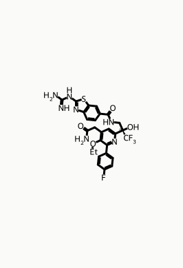 CCOc1c(CC(N)=O)cc([C@@](O)(CNC(=O)c2ccc3nc(NC(=N)N)sc3c2)C(F)(F)F)nc1-c1ccc(F)cc1